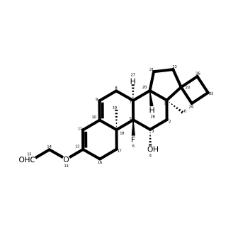 C[C@]12C[C@H](O)[C@@]3(F)[C@@H](CC=C4C=C(OCC=O)CC[C@@]43C)[C@@H]1CCC21CCC1